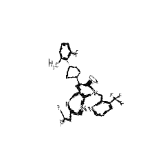 Cc1cccc(F)c1[C@H]1CC[C@H](c2cc3nc(CC(F)F)cnc3n(Cc3ncccc3C(F)(F)F)c2=O)CC1